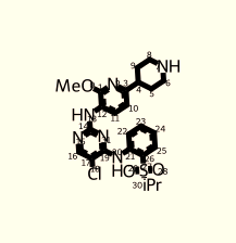 COc1nc(C2CCNCC2)ccc1Nc1ncc(Cl)c(Nc2ccccc2S(=O)(=O)C(C)C)n1